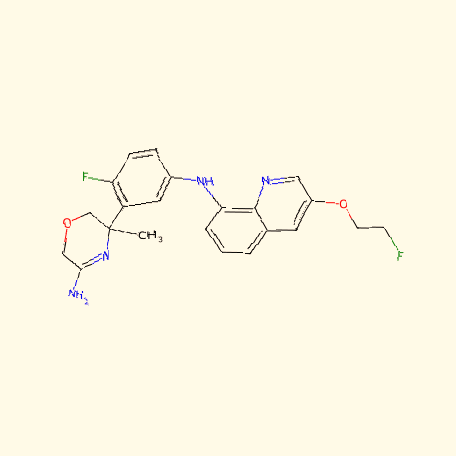 CC1(c2cc(Nc3cccc4cc(OCCF)cnc34)ccc2F)COCC(N)=N1